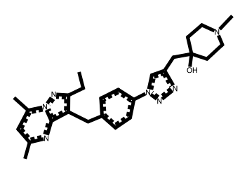 CCc1nn2c(C)cc(C)nc2c1Cc1ccc(-n2cc(CC3(O)CCN(C)CC3)nn2)cc1